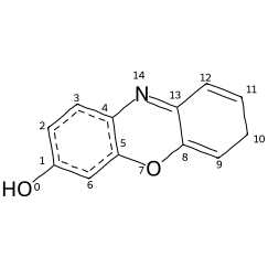 Oc1ccc2c(c1)OC1=CCC=CC1=N2